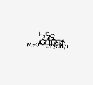 CCCN(C)C1(Cc2c(C)nn3c(-c4ccc(OC)cc4Cl)c(C)oc23)CC1